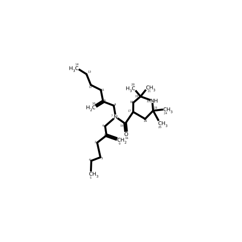 C=C(CCCC)CN(CC(=C)CCCC)C(=O)C1CC(C)(C)NC(C)(C)C1